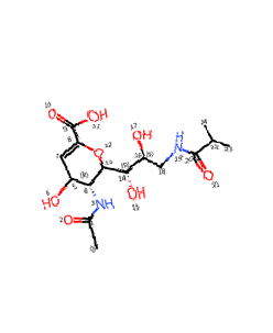 CC(=O)N[C@@H]1C(O)C=C(C(=O)O)OC1[C@@H](O)[C@@H](O)CNC(=O)C(C)C